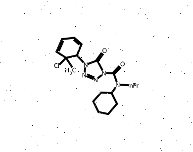 CCCN(C(=O)n1nnn(C2C=CC=CC2(C)Cl)c1=O)C1CCCCC1